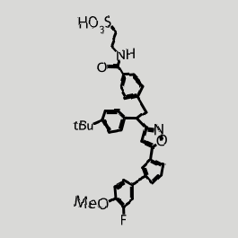 COc1ccc(-c2cccc(-c3cc(C(Cc4ccc(C(=O)NCCS(=O)(=O)O)cc4)c4ccc(C(C)(C)C)cc4)no3)c2)cc1F